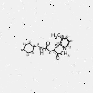 CC(=O)C(CC(=O)NCC1CCCCC1)Sc1ncccc1C